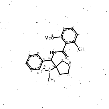 COc1cccc(C)c1C(=O)NC(c1ccccc1)C1(N(C)C)CCOC1